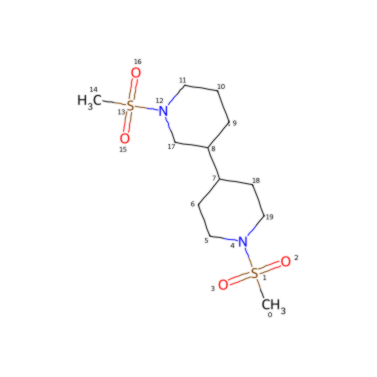 CS(=O)(=O)N1CCC(C2[CH]CCN(S(C)(=O)=O)C2)CC1